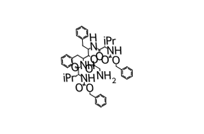 CC(C)[C@H](NC(=O)OCc1ccccc1)C(=O)NC(Cc1ccccc1)C(OC(=O)CN)C(Cc1ccccc1)NC(=O)[C@@H](NC(=O)OCc1ccccc1)C(C)C